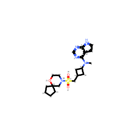 CN(c1ncnc2[nH]ccc12)C1CC(CS(=O)(=O)N2CCOC3(CCCC3)C2)C1